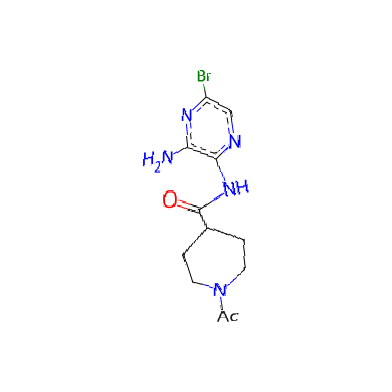 CC(=O)N1CCC(C(=O)Nc2ncc(Br)nc2N)CC1